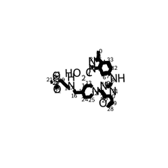 Cc1nn(C(=O)O)c2cc(Nc3nc(N4CCC(CNCCS(C)(=O)=O)CC4)c4occc4n3)ccc12